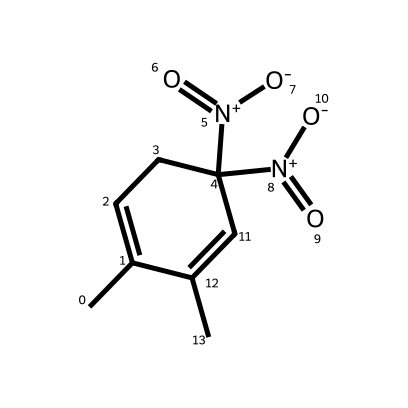 CC1=CCC([N+](=O)[O-])([N+](=O)[O-])C=C1C